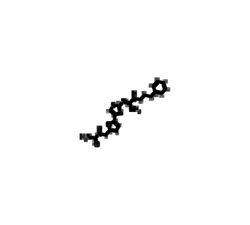 NC(=O)NCc1ccc(-c2csc(/N=C(\N)NCCCc3ccccc3)n2)o1